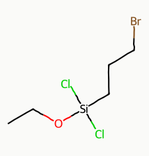 CCO[Si](Cl)(Cl)CCCBr